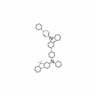 CC1(C)c2ccccc2-c2ccc(N(c3ccccc3)c3ccc(-c4ccc5c(c4)c4ccccc4n5C4=CCC(c5ccccc5)C=C4)cc3)cc21